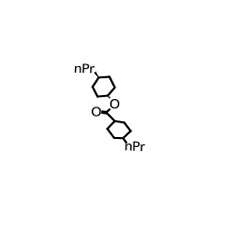 CCCC1CCC(C(=O)O[C@H]2CC[C@H](CCC)CC2)CC1